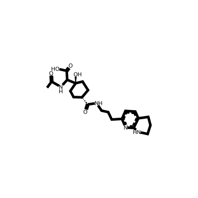 CC(=O)NC(C(=O)O)[C@]1(O)CC[C@H](C(=O)NCCCc2ccc3c(n2)NCCC3)CC1